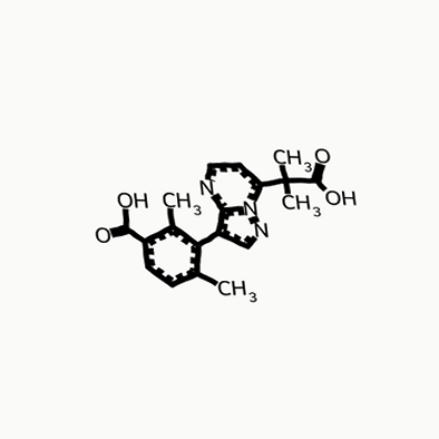 Cc1ccc(C(=O)O)c(C)c1-c1cnn2c(C(C)(C)C(=O)O)ccnc12